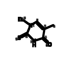 CCn1cc(C)c(=O)[nH]c1=S